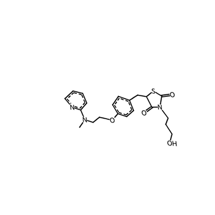 CN(CCOc1ccc(CC2SC(=O)N(CCCO)C2=O)cc1)c1ccccn1